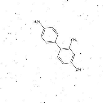 Cc1cc(O)ccc1-c1ccc(N)cc1